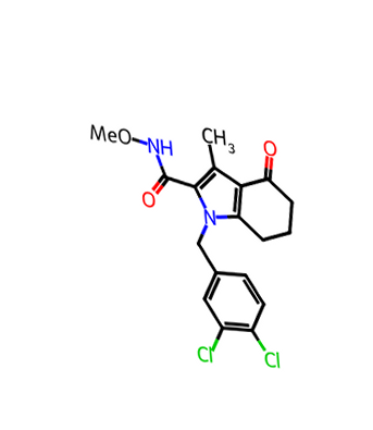 CONC(=O)c1c(C)c2c(n1Cc1ccc(Cl)c(Cl)c1)CCCC2=O